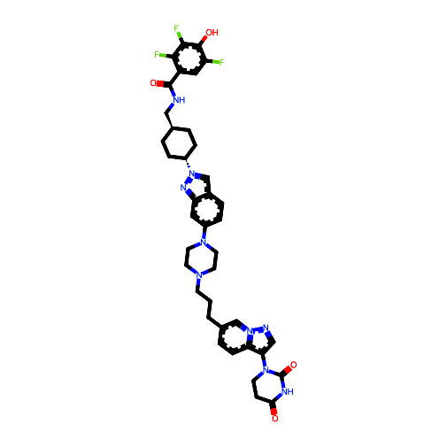 O=C1CCN(c2cnn3cc(CCCN4CCN(c5ccc6cn([C@H]7CC[C@H](CNC(=O)c8cc(F)c(O)c(F)c8F)CC7)nc6c5)CC4)ccc23)C(=O)N1